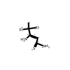 CCC(C)(CC)/C(N)=C/C(N)=S